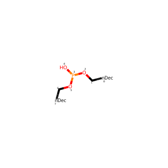 CCCCCCCCCCCOP(O)OCCCCCCCCCCC